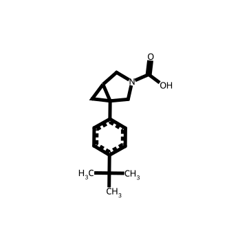 CC(C)(C)c1ccc(C23CC2CN(C(=O)O)C3)cc1